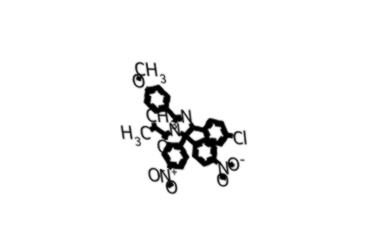 COc1ccc(C2=NC(c3ccc(Cl)cc3)C(c3ccc([N+](=O)[O-])cc3)(c3ccc([N+](=O)[O-])cc3)N2C(=O)C(C)C)cc1